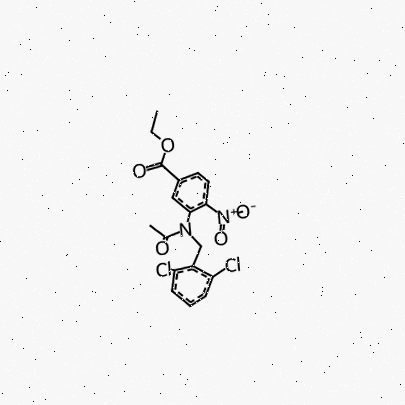 CCOC(=O)c1ccc([N+](=O)[O-])c(N(Cc2c(Cl)cccc2Cl)C(C)=O)c1